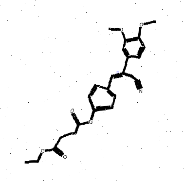 CCOC(=O)CCC(=O)Oc1ccc(/C=C(\C#N)c2ccc(OC)c(OC)c2)cc1